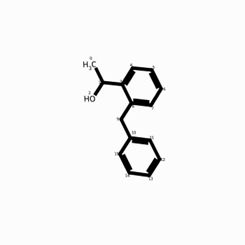 CC(O)c1ccccc1Cc1ccccc1